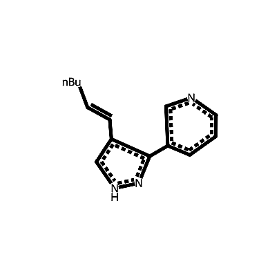 CCCCC=Cc1c[nH]nc1-c1cccnc1